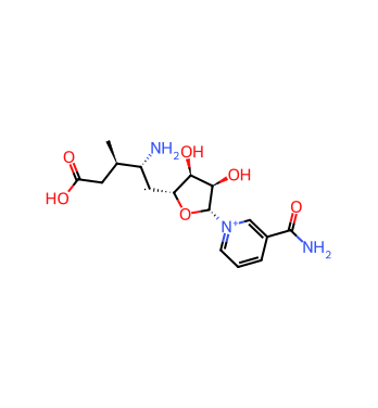 C[C@H](CC(=O)O)[C@H](N)[CH][C@H]1O[C@@H]([n+]2cccc(C(N)=O)c2)[C@H](O)[C@@H]1O